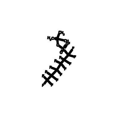 C[Si](C)(C)OS(=O)(=O)C(F)(F)C(F)(F)C(F)(F)C(F)(F)C(F)(F)C(F)(F)F